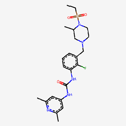 CCS(=O)(=O)N1CCN(Cc2cccc(NC(=O)Nc3cc(C)nc(C)c3)c2F)CC1C